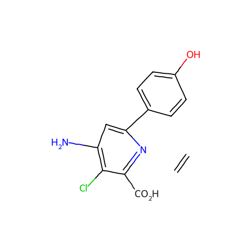 C=C.Nc1cc(-c2ccc(O)cc2)nc(C(=O)O)c1Cl